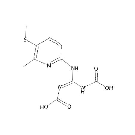 CSc1ccc(NC(=NC(=O)O)NC(=O)O)nc1C